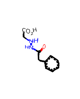 O=C(O)CNNC(=O)Cc1ccccc1